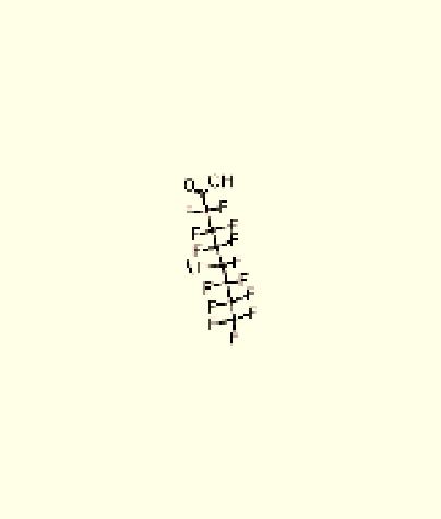 CC.O=C(O)C(F)(F)C(F)(F)C(F)(F)C(F)(F)C(F)(F)C(F)(F)C(F)(F)F